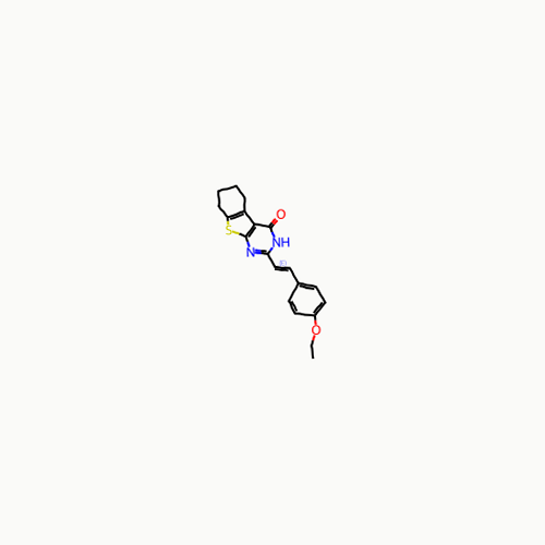 CCOc1ccc(/C=C/c2nc3sc4c(c3c(=O)[nH]2)CCCC4)cc1